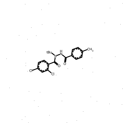 Cc1ccc(C(=O)NN(C(=O)c2ccc(Cl)cc2Cl)C(C)(C)C)cc1